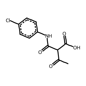 CC(=O)C(C(=O)O)C(=O)Nc1ccc(Cl)cc1